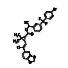 CC1(C)C(C=C(Cl)c2ccc3c(c2)OCO3)C1C(=O)OC(C#N)c1cccc(C(F)(F)c2ccc(Br)cc2)c1